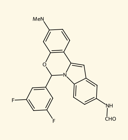 CNc1ccc2c(c1)OC(c1cc(F)cc(F)c1)n1c-2cc2cc(NC=O)ccc21